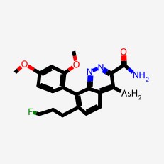 COc1ccc(-c2c(CCCF)ccc3c([AsH2])c(C(N)=O)nnc23)c(OC)c1